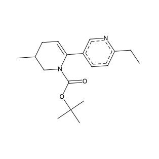 CCc1ccc(C2=CCC(C)CN2C(=O)OC(C)(C)C)cn1